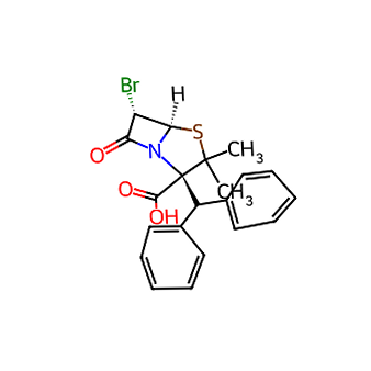 CC1(C)S[C@@H]2[C@@H](Br)C(=O)N2[C@]1(C(=O)O)C(c1ccccc1)c1ccccc1